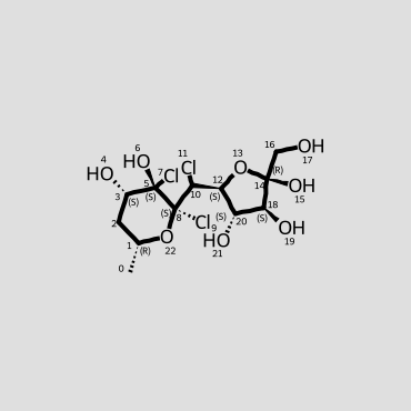 C[C@@H]1C[C@H](O)[C@](O)(Cl)[C@@](Cl)(C(Cl)[C@H]2O[C@](O)(CO)[C@@H](O)[C@@H]2O)O1